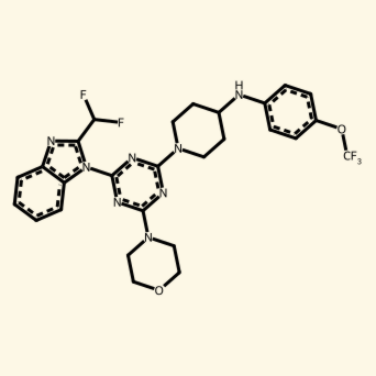 FC(F)c1nc2ccccc2n1-c1nc(N2CCOCC2)nc(N2CCC(Nc3ccc(OC(F)(F)F)cc3)CC2)n1